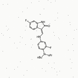 CCCCN(CCC)c1ccc(N/C=C2/C(=O)Nc3cc(F)ccc32)cc1F